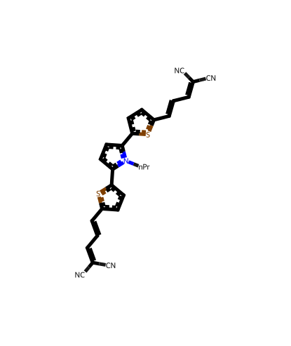 CCCn1c(-c2ccc(/C=C/C=C(C#N)C#N)s2)ccc1-c1ccc(/C=C/C=C(C#N)C#N)s1